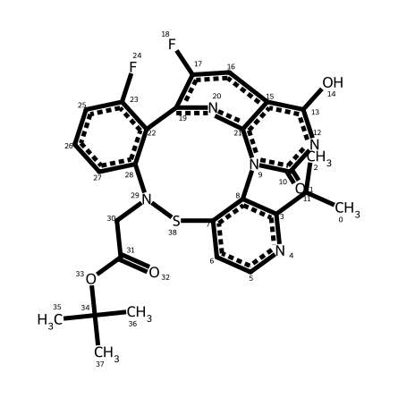 CC(C)c1nccc2c1-n1c(=O)nc(O)c3cc(F)c(nc31)-c1c(F)cccc1N(CC(=O)OC(C)(C)C)S2